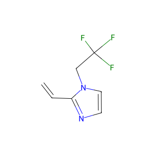 C=Cc1nccn1CC(F)(F)F